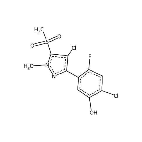 Cn1nc(-c2cc(O)c(Cl)cc2F)c(Cl)c1S(C)(=O)=O